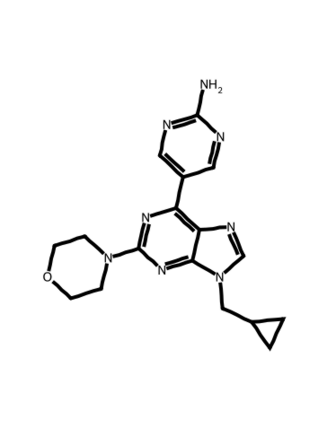 Nc1ncc(-c2nc(N3CCOCC3)nc3c2ncn3CC2CC2)cn1